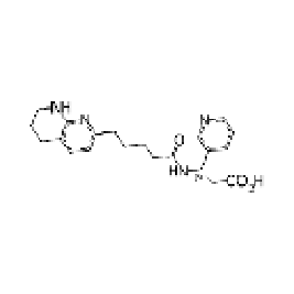 O=C(O)C[C@H](NC(=O)CCCCc1ccc2c(n1)NCCC2)c1cccnc1